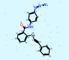 [N-]=[N+]=Nc1ccc(NC(=O)c2ccccc2[Se]C#Cc2ccccc2)cc1